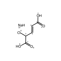 O=C(O)C=CC(Cl)C(=O)O.[NaH]